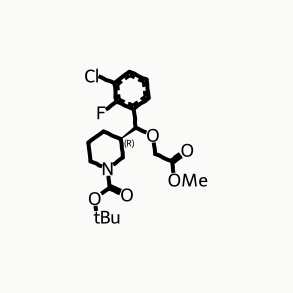 COC(=O)COC(c1cccc(Cl)c1F)[C@@H]1CCCN(C(=O)OC(C)(C)C)C1